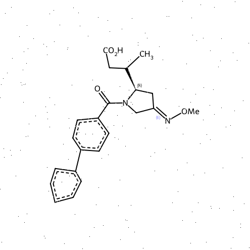 CO/N=C1\C[C@H](C(C)CC(=O)O)N(C(=O)c2ccc(-c3ccccc3)cc2)C1